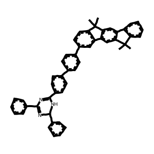 CC1(C)c2ccccc2-c2cc3c(cc21)-c1cc(-c2ccc(-c4ccc(C5=NC(c6ccccc6)=NC(c6ccccc6)N5)cc4)cc2)ccc1C3(C)C